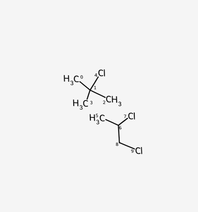 CC(C)(C)Cl.CC(Cl)CCl